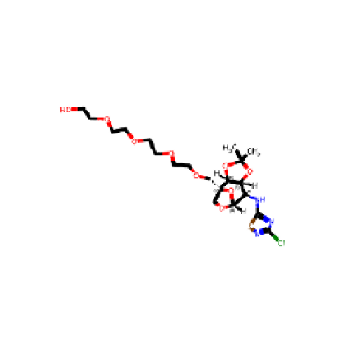 CC1(C)O[C@@H]2[C@@H](Nc3nc(Cl)ns3)[C@@H]3OC[C@](COCCOCCOCCOCCO)(O3)[C@@H]2O1